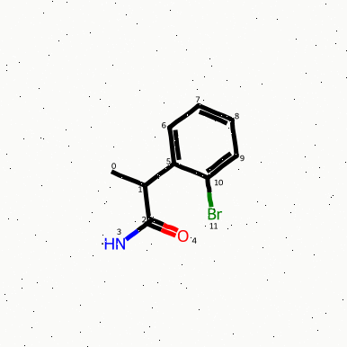 CC(C([NH])=O)c1ccccc1Br